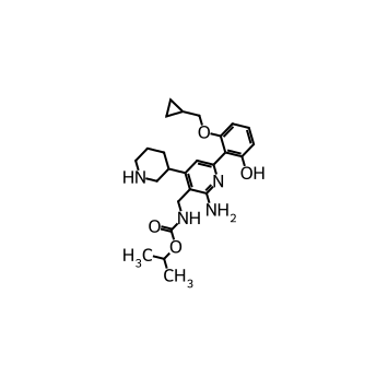 CC(C)OC(=O)NCc1c(C2CCCNC2)cc(-c2c(O)cccc2OCC2CC2)nc1N